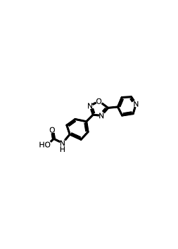 O=C(O)Nc1ccc(-c2noc(-c3ccncc3)n2)cc1